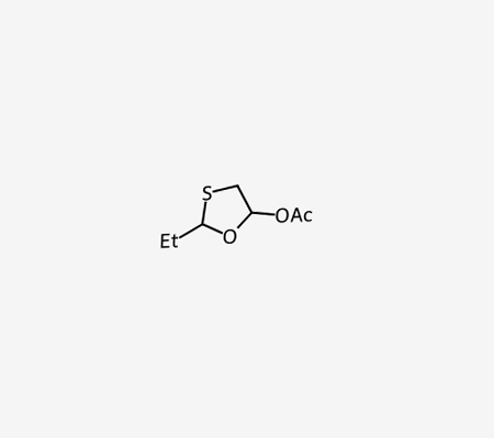 CCC1OC(OC(C)=O)CS1